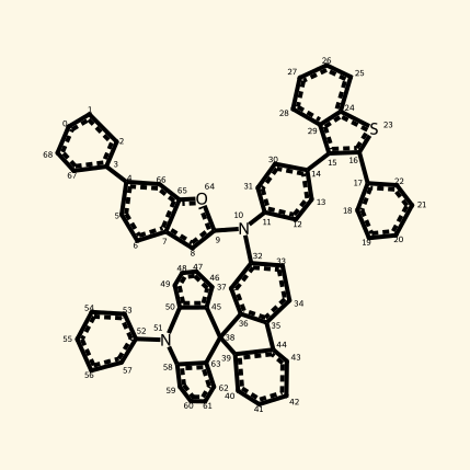 c1ccc(-c2ccc3cc(N(c4ccc(-c5c(-c6ccccc6)sc6ccccc56)cc4)c4ccc5c(c4)C4(c6ccccc6-5)c5ccccc5N(c5ccccc5)c5ccccc54)oc3c2)cc1